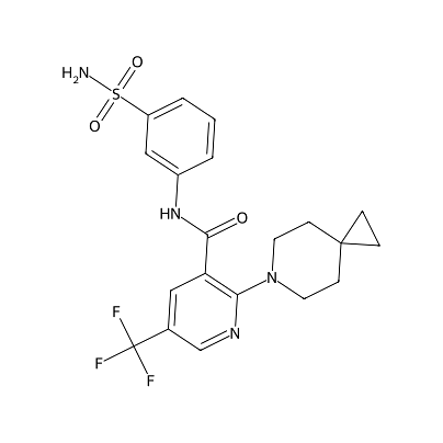 NS(=O)(=O)c1cccc(NC(=O)c2cc(C(F)(F)F)cnc2N2CCC3(CC2)CC3)c1